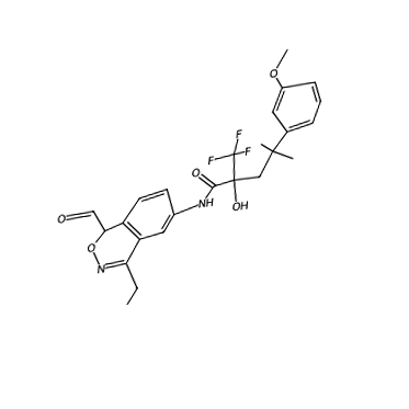 CCC1=NOC(C=O)c2ccc(NC(=O)C(O)(CC(C)(C)c3cccc(OC)c3)C(F)(F)F)cc21